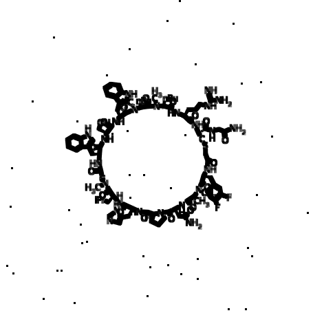 CCCC[C@H]1C(=O)N(C)[C@@H](CCCC)C(=O)N[C@@H](CCCNC(=N)N)C(=O)N[C@H](C(=O)NCC(N)=O)CSCC(=O)N[C@@H](Cc2ccc(F)c(F)c2)C(=O)N(C)[C@@H](C)C(=O)N[C@@H](CC(N)=O)C(=O)N2CCC[C@H]2C(=O)N[C@@H](Cc2cnc[nH]2)C(=O)N[C@@H](CC(C)C)C(=O)N(C)CC(=O)N[C@@H](Cc2c[nH]c3ccccc23)C(=O)N[C@@H](CO)C(=O)N[C@@H](Cc2c[nH]c3ccccc23)C(=O)N1C